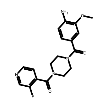 COc1cc(C(=O)N2CCN(C(=O)c3ccncc3F)CC2)ccc1N